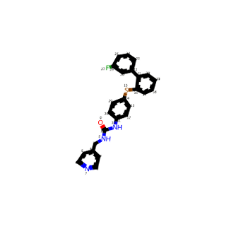 O=C(NCc1ccncc1)Nc1ccc(Sc2ccccc2-c2cccc(F)c2)cc1